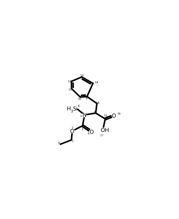 CCOC(=O)N([SiH3])C(Cc1ccccc1)C(=O)O